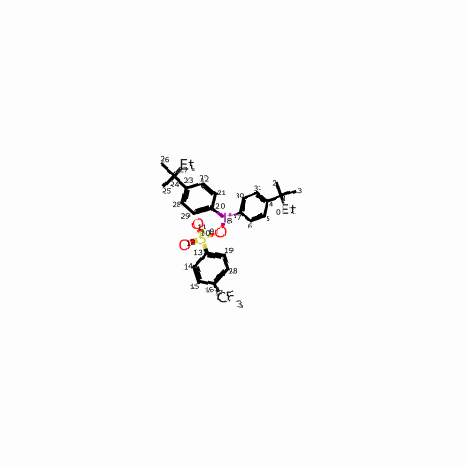 CCC(C)(C)c1ccc([I+](OS(=O)(=O)c2ccc(C(F)(F)F)cc2)c2ccc(C(C)(C)CC)cc2)cc1